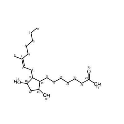 CCCCCC(C)=CCC1C(O)CC(O)C1CCCCCCC(=O)O